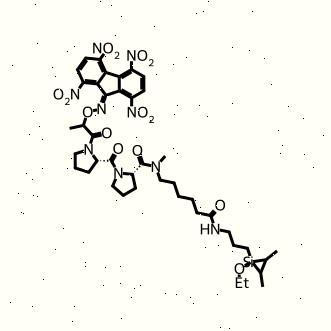 CCO[Si]1(CCCNC(=O)CCCCCN(C)C(=O)[C@@H]2CCCN2C(=O)[C@@H]2CCCN2C(=O)C(C)ON=C2c3c([N+](=O)[O-])ccc([N+](=O)[O-])c3-c3c([N+](=O)[O-])ccc([N+](=O)[O-])c32)C(C)C1C